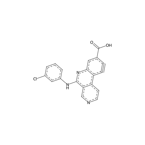 O=C(O)c1c#cc2c(c1)nc(Nc1cccc(Cl)c1)c1cnccc12